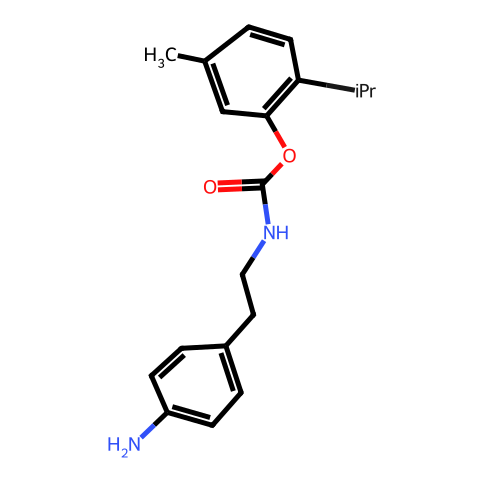 Cc1ccc(C(C)C)c(OC(=O)NCCc2ccc(N)cc2)c1